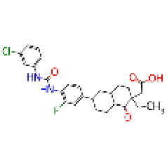 CCC1(CC(=O)O)CCC2CC(c3ccc(NC(=O)Nc4cccc(Cl)c4)c(F)c3)CCC2C1=O